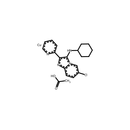 CC(=O)O.Clc1ccc2nc(-c3ccccn3)c(NC3CCCCC3)n2c1.[Cu]